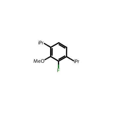 COc1c(C(C)C)ccc(C(C)C)c1F